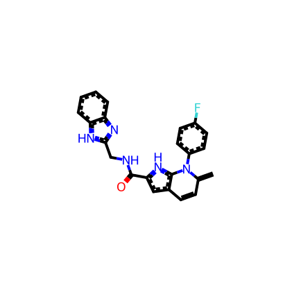 C=C1C=Cc2cc(C(=O)NCc3nc4ccccc4[nH]3)[nH]c2N1c1ccc(F)cc1